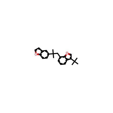 CC(C)(C)c1coc2c(CC(C)(C)c3ccc4occc4c3)cccc12